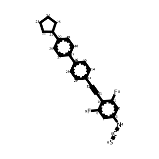 Fc1cc(N=C=S)cc(F)c1C#Cc1ccc(-c2ccc(C3CCCC3)cc2)cc1